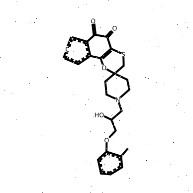 Cc1ccccc1OCC(O)CN1CCC2(CC1)CSC1=C(O2)c2ccccc2C(=O)C1=O